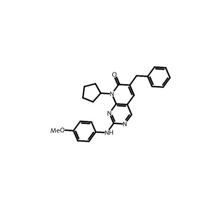 COc1ccc(Nc2ncc3cc(Cc4ccccc4)c(=O)n(C4CCCC4)c3n2)cc1